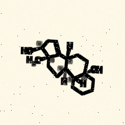 C[C@]12CC[C@@H]3[C@H]4CCCC[C@]4(O)CC[C@H]3C1=CC[C@@H]2O